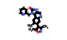 Cc1cc2c(cc1-c1c(C)noc1C)ncc1[nH]c(=O)n(Cc3ccccn3)c12